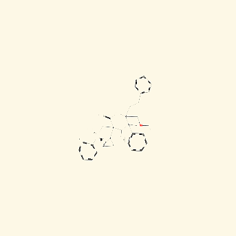 CCCC1(CCc2ccccc2)OC(=O)C(CS(=O)(=O)c2ccccn2)(C2CC2)C(O)C1(C)c1ccccc1